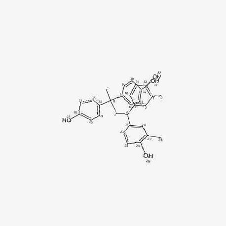 Cc1cc(C(CC(C)(c2ccc(O)cc2)c2ccc(O)cc2)c2ccc(O)c(C)c2)ccc1O